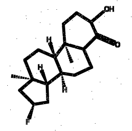 C[C@]12CC[C@H]3[C@@H](CCC4C(=O)C(O)CC[C@@]43C)[C@@H]1C[C@@H](F)C2